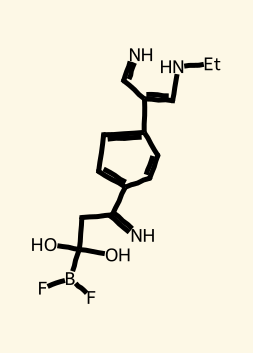 CCN/C=C(\C=N)c1ccc(C(=N)CC(O)(O)B(F)F)cc1